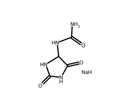 NC(=O)NC1NC(=O)NC1=O.[NaH]